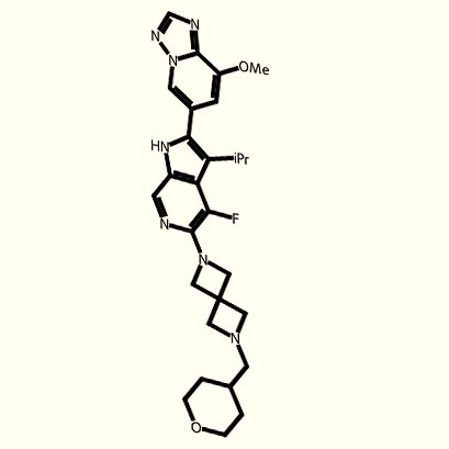 COc1cc(-c2[nH]c3cnc(N4CC5(CN(CC6CCOCC6)C5)C4)c(F)c3c2C(C)C)cn2ncnc12